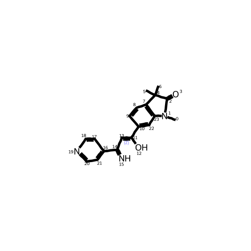 CN1C(=O)C(C)(C)c2ccc(/C(O)=C/C(=N)c3ccncc3)cc21